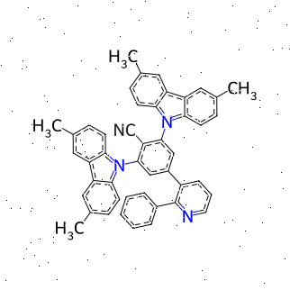 Cc1ccc2c(c1)c1cc(C)ccc1n2-c1cc(-c2cccnc2-c2ccccc2)cc(-n2c3ccc(C)cc3c3cc(C)ccc32)c1C#N